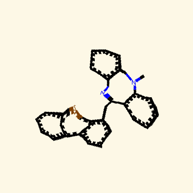 CN1c2ccccc2N=C(c2cccc3c2sc2ccccc23)c2ccccc21